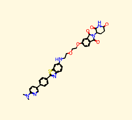 CN(C)c1ccc(-c2ccc(-c3nc4ccc(NCCOCCOc5ccc6c(c5)C(=O)N(C5CCC(=O)NC5=O)C6=O)cc4s3)cc2)cn1